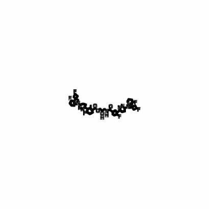 Cc1c(C(=O)OC[C@@H](O)CNC(=O)c2ccc(F)c(-c3ccc(NCC4(c5ncccc5F)CC(F)C4)nn3)c2)ccc(F)c1-c1ccc(NCC2(c3ncccc3F)CC(F)C2)nn1